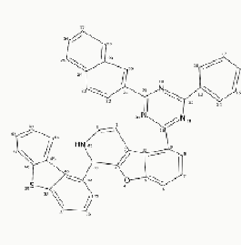 C1=Cc2c(oc3cccc(-c4nc(-c5ccccc5)nc(-c5ccc6ccccc6c5)n4)c23)C(c2cccc3sc4ccccc4c23)N1